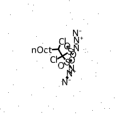 CCCCCCCCC(Cl)C(Cl)(S(=O)(=O)N=[N+]=[N-])S(=O)(=O)N=[N+]=[N-]